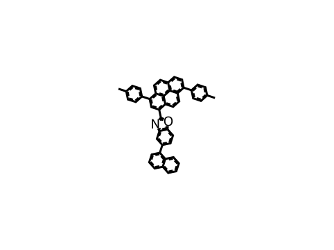 Cc1ccc(-c2ccc3ccc4c(-c5ccc(C)cc5)cc(-c5nc6cc(-c7cccc8ccccc78)ccc6o5)c5ccc2c3c45)cc1